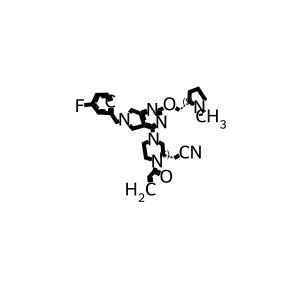 C=CC(=O)N1CCN(c2nc(OC[C@@H]3CCCN3C)nc3c2CN(Cc2cccc(F)c2)C3)C[C@@H]1CC#N